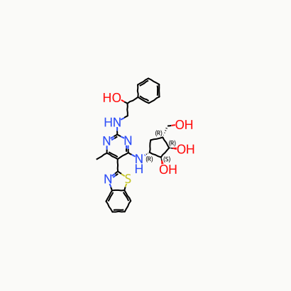 Cc1nc(NCC(O)c2ccccc2)nc(N[C@@H]2C[C@H](CO)[C@@H](O)[C@H]2O)c1-c1nc2ccccc2s1